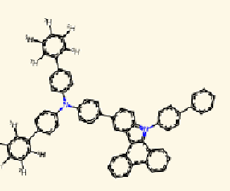 [2H]c1c([2H])c([2H])c(-c2ccc(N(c3ccc(-c4ccc5c(c4)c4c6ccccc6c6ccccc6c4n5-c4ccc(-c5ccccc5)cc4)cc3)c3ccc(-c4c([2H])c([2H])c([2H])c([2H])c4[2H])cc3)cc2)c([2H])c1[2H]